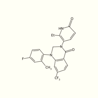 CCc1[nH]c(=O)ccc1N1CN(c2ccc(F)cc2C)c2cc(C(F)(F)F)ccc2C1=O